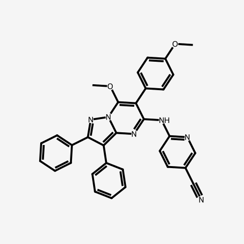 COc1ccc(-c2c(Nc3ccc(C#N)cn3)nc3c(-c4ccccc4)c(-c4ccccc4)nn3c2OC)cc1